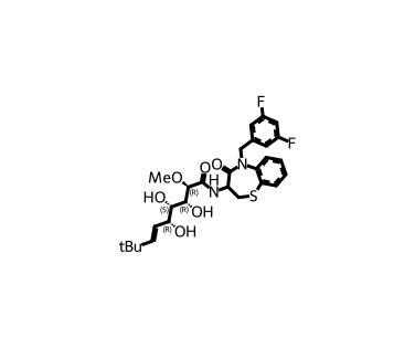 CO[C@@H](C(=O)NC1CSc2ccccc2N(Cc2cc(F)cc(F)c2)C1=O)[C@H](O)[C@@H](O)[C@H](O)C=CC(C)(C)C